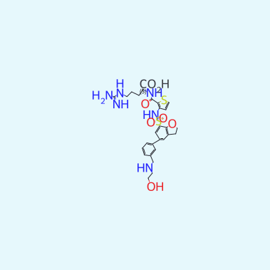 N=C(N)NCCC[C@H](NC(=O)c1sccc1NS(=O)(=O)c1cc(-c2cccc(CNCCO)c2)cc2c1OCC2)C(=O)O